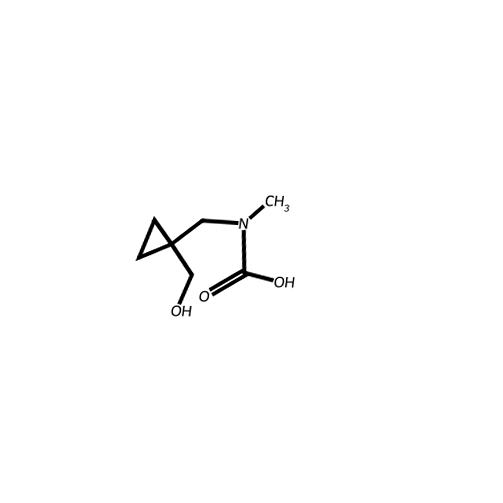 CN(CC1(CO)CC1)C(=O)O